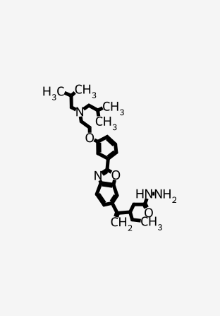 C=C(c1ccc2nc(-c3cccc(OCCN(CC(C)C)CC(C)C)c3)oc2c1)C(CC)CC(=O)NN